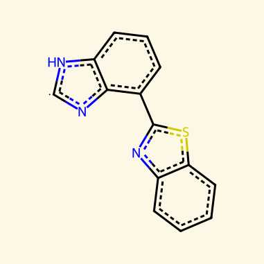 [c]1nc2c(-c3nc4ccccc4s3)cccc2[nH]1